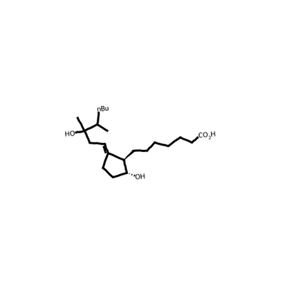 CCCCC(C)C(C)(O)CC=C1CC[C@@H](O)[C@@H]1CCCCCCC(=O)O